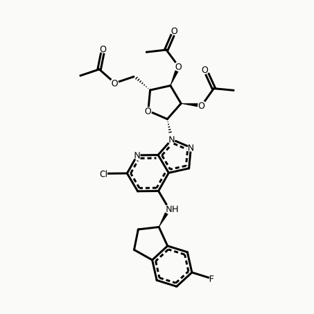 CC(=O)OC[C@H]1O[C@@H](n2ncc3c(N[C@@H]4CCc5ccc(F)cc54)cc(Cl)nc32)[C@H](OC(C)=O)[C@@H]1OC(C)=O